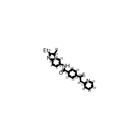 CCc1nc2ccc(NC(=O)c3ccc(C(F)Cc4ccccn4)cc3)cn2c1C